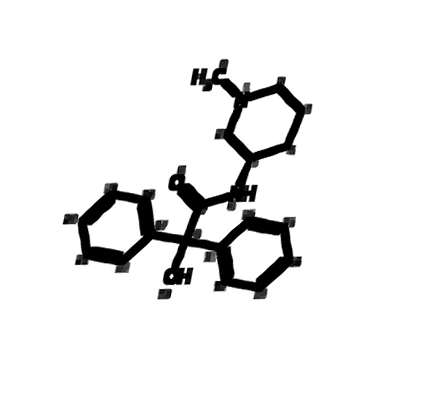 CN1CCC[C@@H](NC(=O)C(O)(c2ccccc2)c2ccccc2)C1